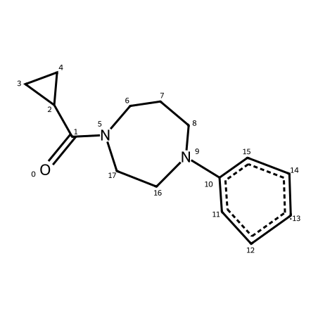 O=C(C1CC1)N1CCCN(c2cc[c]cc2)CC1